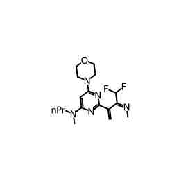 C=C(/C(=N\C)C(F)F)c1nc(N(C)CCC)cc(N2CCOCC2)n1